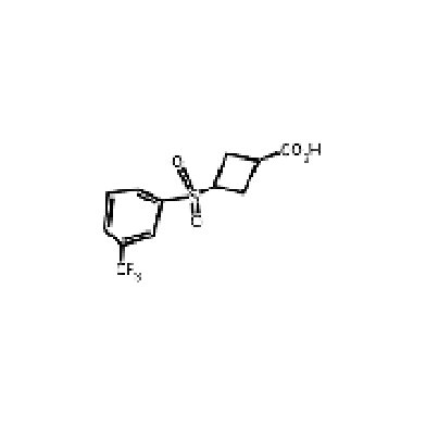 O=C(O)[C@H]1C[C@@H](S(=O)(=O)c2cccc(C(F)(F)F)c2)C1